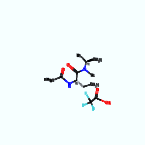 CCCCCCCC(=O)N[C@@H](CC(=O)O)C(=O)N(CC)[C@H](C(=O)O)C(C)C.O=C(O)C(F)(F)F